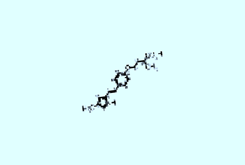 Cc1c[nH]c(C=Cc2ccc(OCCC(C)C(=O)O)cc2)c1